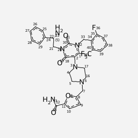 Cc1c(N2CCN(Cc3ccc(C(N)=O)o3)CC2)c(=O)n(C[C@@H](N)c2ccccc2)c(=O)n1Cc1c(F)cccc1C(F)(F)F